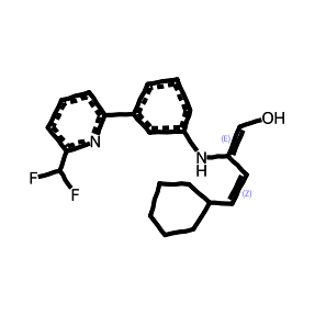 O/C=C(\C=C/C1CCCCC1)Nc1cccc(-c2cccc(C(F)F)n2)c1